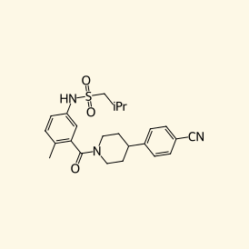 Cc1ccc(NS(=O)(=O)CC(C)C)cc1C(=O)N1CCC(c2ccc(C#N)cc2)CC1